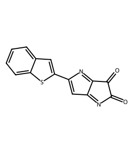 O=c1nc2cc(-c3cc4ccccc4s3)nc-2c1=O